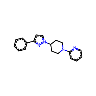 c1ccc(-c2ccn(C3CCN(c4ccccn4)CC3)n2)cc1